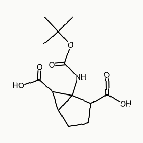 CC(C)(C)OC(=O)NC12C(C(=O)O)CCC1C2C(=O)O